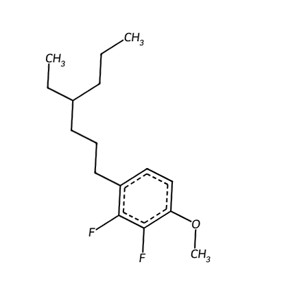 CCCC(CC)CCCc1ccc(OC)c(F)c1F